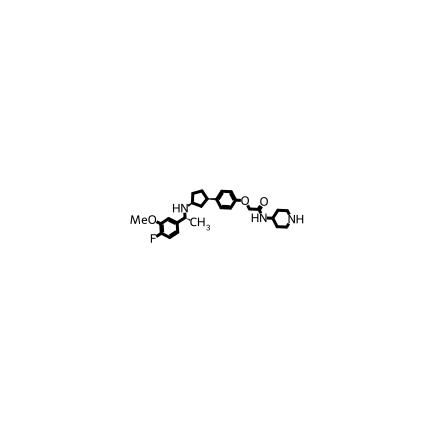 COc1cc([C@@H](C)N[C@H]2CC[C@@H](c3ccc(OCC(=O)NC4CCNCC4)cc3)C2)ccc1F